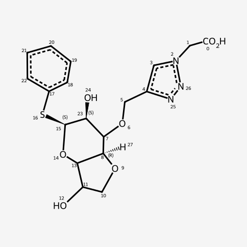 O=C(O)Cn1cc(COC2[C@H]3OCC(O)C3O[C@@H](Sc3ccccc3)[C@H]2O)nn1